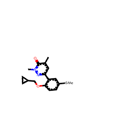 CSc1ccc(OCC2CC2)c(-c2cc(C)c(=O)n(C)n2)c1